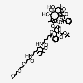 CCC(C)(CC)C(=O)C(CCCCNC(=O)CCOCCOCCOC)NC(=O)CCCC(=O)O[C@@H](C(=O)O[C@H]1C[C@@]2(O)[C@@H](OC(=O)c3ccccc3)[C@@H]3[C@]4(OC(C)=O)CO[C@@H]4C[C@H](O)[C@@]3(C)C(=O)[C@H](O)C(=C1C)C2(C)C)[C@@H](NC(=O)OC(C)(C)C)c1ccccc1